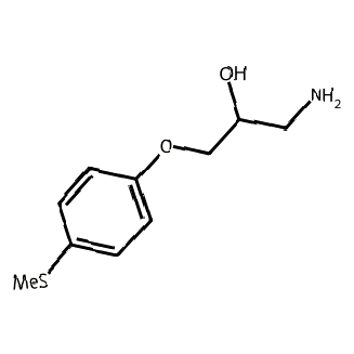 CSc1ccc(OCC(O)CN)cc1